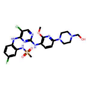 COc1nc(N2CCN(CO)CC2)ccc1Nc1ncc(Cl)c(Nc2ccc(F)cc2NS(C)(=O)=O)n1